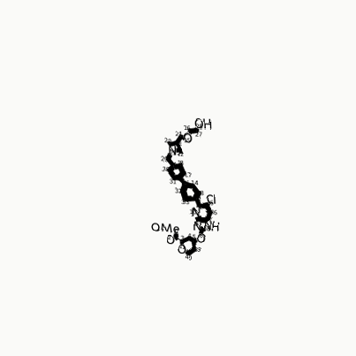 COC(=O)[C@@H]1CC(Oc2nc3nc(-c4ccc(-c5ccc(CN6CC(COCCO)C6)cc5)cc4)c(Cl)cc3[nH]2)CCO1